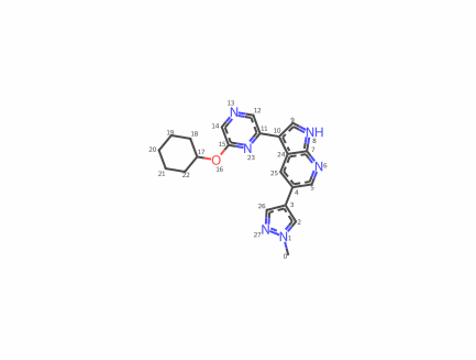 Cn1cc(-c2cnc3[nH]cc(-c4cncc(OC5CCCCC5)n4)c3c2)cn1